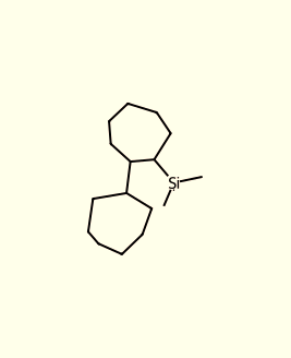 C[Si](C)C1CCCCCC1C1CCCCCC1